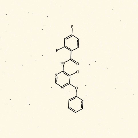 O=C(Nc1ncnc(Oc2ccccc2)c1Cl)c1ccc(F)cc1F